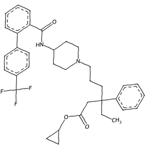 CCC(CCCN1CCC(NC(=O)c2ccccc2-c2ccc(C(F)(F)F)cc2)CC1)(CC(=O)OC1CC1)c1ccccc1